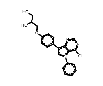 OCC(O)COc1ccc(-c2cn(-c3ccccc3)c3c(Cl)ncnc23)cc1